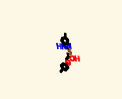 Cc1ccc(OCC(O)CSc2nc3cc(C)ccc3[nH]2)cc1